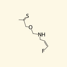 CC(=S)COCNC/C=C\F